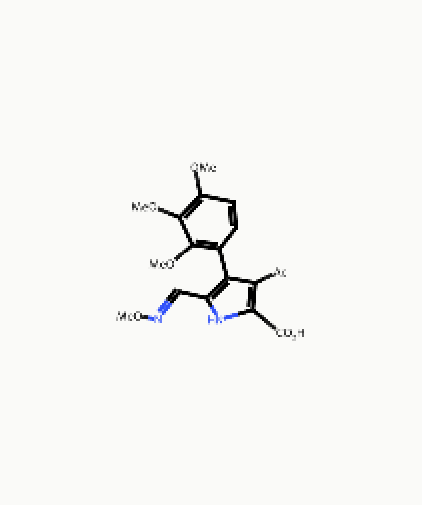 CO/N=C/c1[nH]c(C(=O)O)c(C(C)=O)c1-c1ccc(OC)c(OC)c1OC